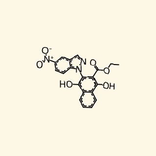 CCOC(=O)c1c(-n2ncc3cc([N+](=O)[O-])ccc32)c(O)c2ccccc2c1O